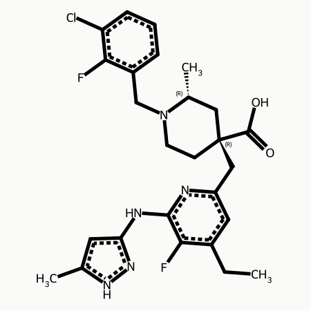 CCc1cc(C[C@@]2(C(=O)O)CCN(Cc3cccc(Cl)c3F)[C@H](C)C2)nc(Nc2cc(C)[nH]n2)c1F